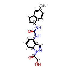 CC(C)(C)c1ccc2c(c1)CC[C@H]2NC(=O)Nc1cccc2c1cnn2C(=O)CO